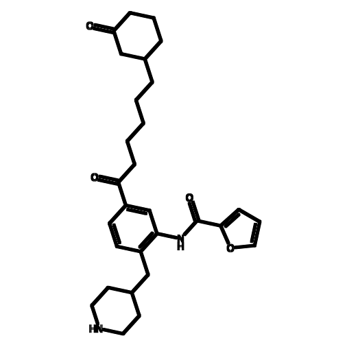 O=C1CCCC(CCCCCC(=O)c2ccc(CC3CCNCC3)c(NC(=O)c3ccco3)c2)C1